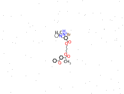 CCC(C(=O)OCCCCCOC(=O)c1cc(Br)c(N)c(CN(CC)C2CCCCC2)c1)c1cccc(C(=O)c2ccccc2)c1